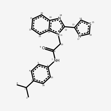 CC(C)c1ccc(NC(=O)Cn2c(-c3cscn3)nc3ccccc32)cc1